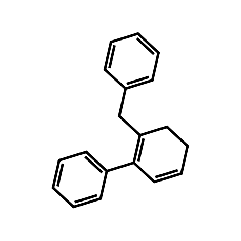 C1=CC(c2ccccc2)=C(Cc2ccccc2)CC1